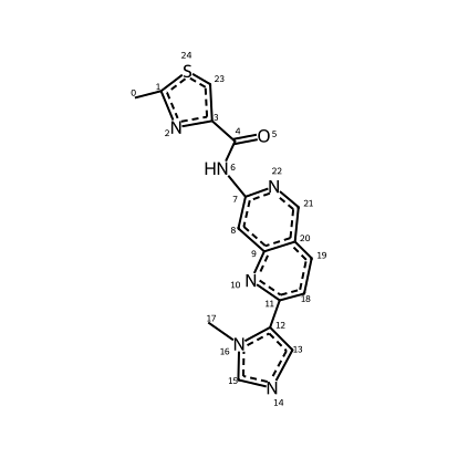 Cc1nc(C(=O)Nc2cc3nc(-c4cncn4C)ccc3cn2)cs1